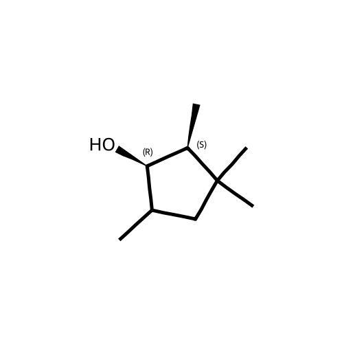 CC1CC(C)(C)[C@H](C)[C@@H]1O